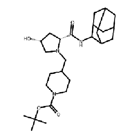 CC(C)(C)OC(=O)N1CCC(CN2C[C@H](O)C[C@@H]2C(=O)NC2C3CC4CC(C3)CC2C4)CC1